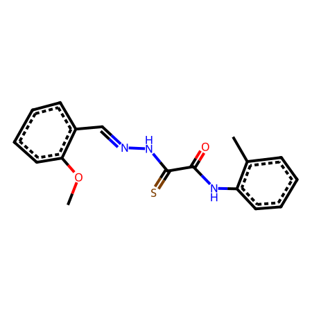 COc1ccccc1/C=N/NC(=S)C(=O)Nc1ccccc1C